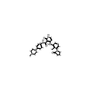 Cc1c(Nc2cc[nH]c(=O)c2C(=O)Nc2ccc(N3CCN(C)CC3)cc2)cncc1N1CCCC1=O